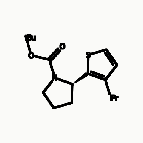 CC(C)c1ccsc1[C@@H]1CCCN1C(=O)OC(C)(C)C